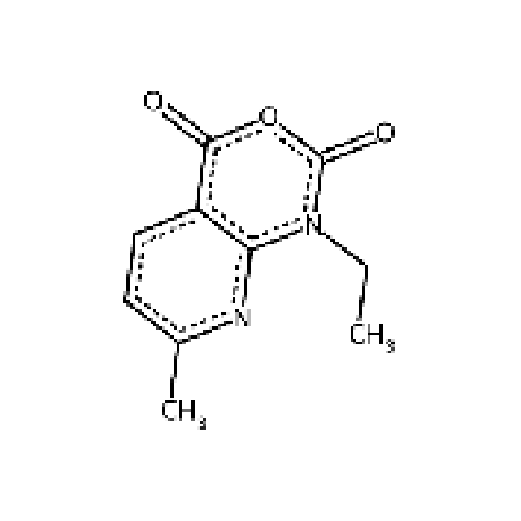 CCn1c(=O)oc(=O)c2ccc(C)nc21